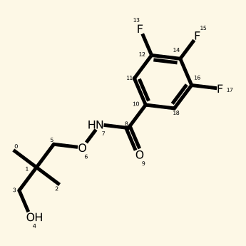 CC(C)(CO)CONC(=O)c1cc(F)c(F)c(F)c1